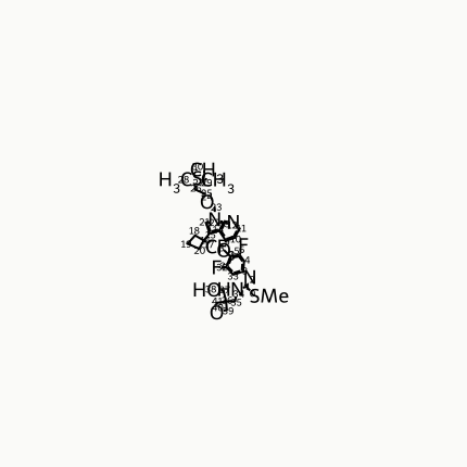 CSC(=Nc1cc(F)c(Oc2ccnc3c2c(C2(C(F)(F)F)CCC2)cn3COCC[Si](C)(C)C)c(F)c1)NCC1(CO)COC1